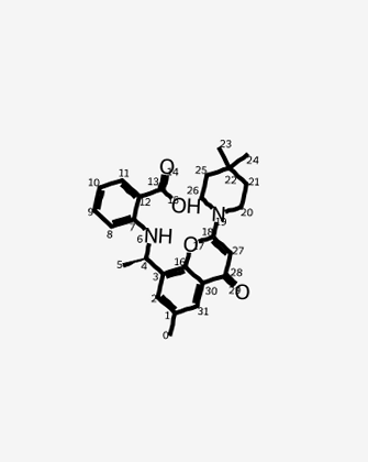 Cc1cc([C@@H](C)Nc2ccccc2C(=O)O)c2oc(N3CCC(C)(C)CC3)cc(=O)c2c1